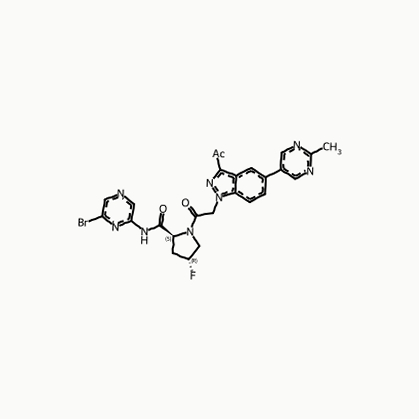 CC(=O)c1nn(CC(=O)N2C[C@H](F)C[C@H]2C(=O)Nc2cncc(Br)n2)c2ccc(-c3cnc(C)nc3)cc12